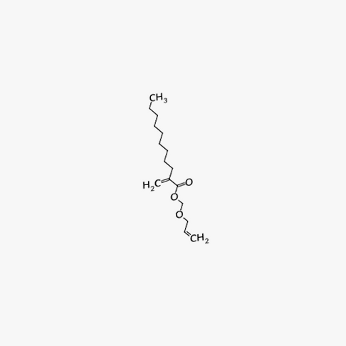 C=CCOCOC(=O)C(=C)CCCCCCCCC